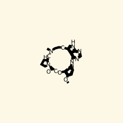 COc1ccc2cc1OCC(=O)N1CCC[C@@H]1CN(C)CCCc1c[nH]c3ncnc(c13)N2